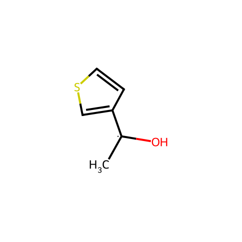 C[C](O)c1ccsc1